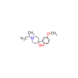 COc1cccc(C2(O)CCN(C(C)C)CC2)c1